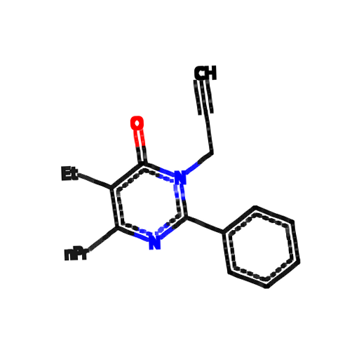 C#CCn1c(-c2ccccc2)nc(CCC)c(CC)c1=O